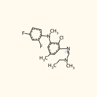 CCN(C)/C=N\c1cc(C)cc(N(C)c2ccc(F)cc2F)c1Cl